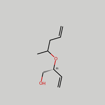 C=CCC(C)O[C@H](C=C)CO